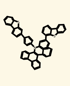 c1ccc(-c2c(N(c3ccc(-c4ccc5c(c4)sc4ccccc45)cc3)c3cccc(-c4cccc5c4sc4ccccc45)c3)c3ccccc3c3ccccc23)cc1